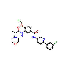 CC(C(=O)Nc1cc(C(=O)Nc2ccc(-c3cccc(F)c3)nc2)ccc1OCF)N1CCOCC1